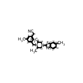 Cc1cc(CC#N)cc(CN2C(C)CN(c3nc4ccc(C)cc4s3)CC2C)c1